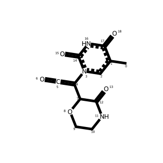 Cc1cn(C(=C=O)C2OCCNC2=O)c(=O)[nH]c1=O